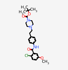 COc1ccc(Cl)c(C(=O)Nc2ccc(CCN3CCN(C(=O)OC(C)(C)C)CC3)cc2)c1